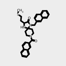 CSCCC1NC2(CCN(C(=O)c3ccc4ccccc4c3)CC2)N(Cc2ccc3ccccc3c2)C1=O